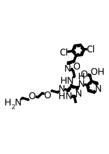 Cc1nc(NCCOCCOCCN)c(NCc2ncc(-c3cc(Cl)ccc3Cl)o2)c(Nc2ccncc2C(=O)O)n1